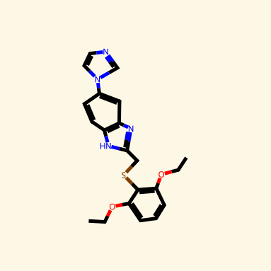 CCOc1cccc(OCC)c1SCc1nc2cc(-n3ccnc3)ccc2[nH]1